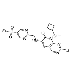 CCS(=O)(=O)c1cnc(CNc2nc3cnc(Cl)nc3n([C@@H](C)C3CCC3)c2=O)nc1